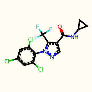 O=C(NC1CC1)c1cnn(-c2c(Cl)cc(Cl)cc2Cl)c1C(F)(F)F